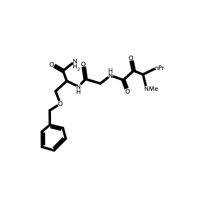 CCCC(NC)C(=O)C(=O)NCC(=O)NC(COCc1ccccc1)C(N)=O